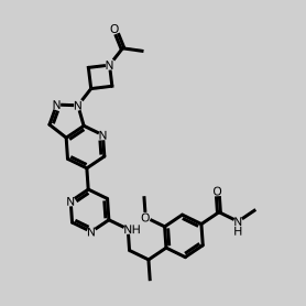 CNC(=O)c1ccc(C(C)CNc2cc(-c3cnc4c(cnn4C4CN(C(C)=O)C4)c3)ncn2)c(OC)c1